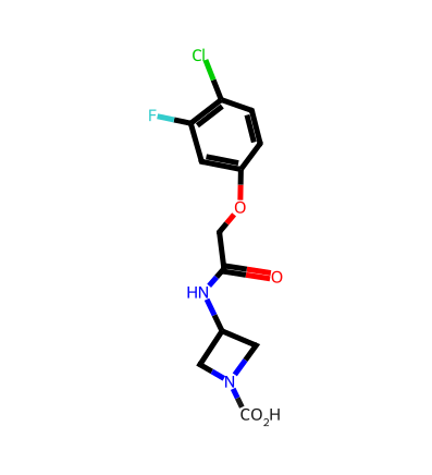 O=C(COc1ccc(Cl)c(F)c1)NC1CN(C(=O)O)C1